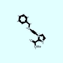 COC(=O)c1nccn1C#COCc1ccccc1